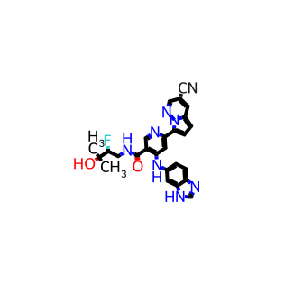 CC(C)(O)C(F)CNC(=O)c1cnc(-c2ccc3cc(C#N)cnn23)cc1Nc1ccc2nc[nH]c2c1